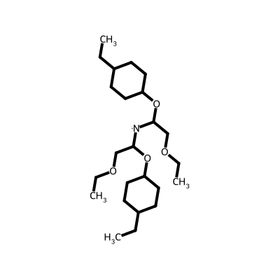 CCOCC([N]C(COCC)OC1CCC(CC)CC1)OC1CCC(CC)CC1